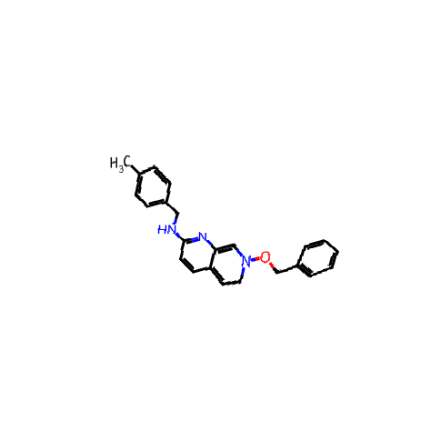 Cc1ccc(CNc2ccc3c(n2)=CN(OCc2ccccc2)CC=3)cc1